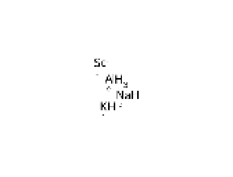 [AlH3].[KH].[NaH].[Sc]